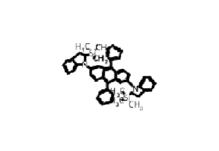 C[Si](C)(C)C1Cc2ccccc2N1c1ccc2c(-c3ccccc3)c3cc(N4c5ccccc5CC4[Si](C)(C)C)ccc3c(-c3ccccc3)c2c1